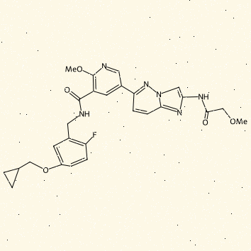 COCC(=O)Nc1cn2nc(-c3cnc(OC)c(C(=O)NCc4cc(OCC5CC5)ccc4F)c3)ccc2n1